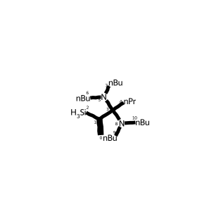 C=C([SiH3])C(CCC)(N(CCCC)CCCC)N(CCCC)CCCC